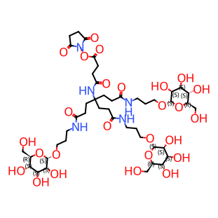 O=C(CCC(CCC(=O)NCCCO[C@H]1O[C@H](CO)[C@@H](O)[C@H](O)[C@@H]1O)(CCC(=O)NCCCO[C@H]1O[C@H](CO)[C@@H](O)[C@H](O)[C@@H]1O)NC(=O)CCC(=O)ON1C(=O)CCC1=O)NCCCO[C@H]1O[C@H](CO)[C@@H](O)[C@H](O)[C@@H]1O